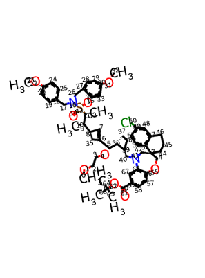 COCCO[C@@H](C1=C[C@H]([C@H](C)[C@@H](C)S(=O)(=O)N(Cc2ccc(OC)cc2)Cc2ccc(OC)cc2)C1)[C@@H]1CC[C@H]1CN1C[C@@]2(CCCc3cc(Cl)ccc32)COc2ccc(C(=O)OC(C)(C)C)cc21